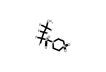 CC(F)(F)C(F)(F)C(F)(F)S(=O)(=O)N1CCS(=O)(=O)CC1